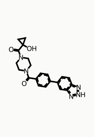 O=C(c1ccc(-c2ccc3n[nH]nc3c2)cc1)N1CCN(C(=O)C2(O)CC2)CC1